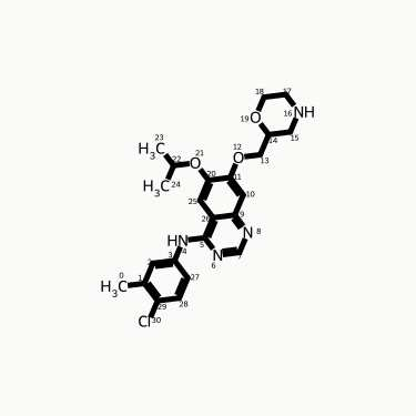 Cc1cc(Nc2ncnc3cc(OCC4CNCCO4)c(OC(C)C)cc23)ccc1Cl